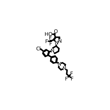 O=C(O)c1cnn(C2CCCN(c3cc(Cl)ccc3-c3ccc(N4CCN(CCC(F)(F)F)CC4)cc3)C2)c1C(F)(F)F